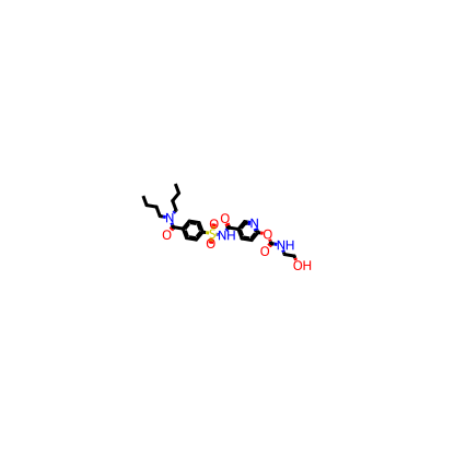 CCCCN(CCCC)C(=O)c1ccc(S(=O)(=O)NC(=O)c2ccc(OC(=O)NCCO)nc2)cc1